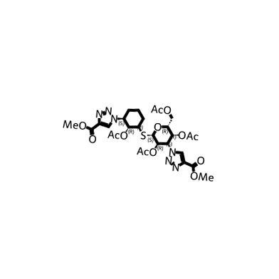 COC(=O)c1cn([C@H]2[C@@H](OC(C)=O)[C@@H](COC(C)=O)O[C@@H](S[C@@H]3CCC[C@H](n4cc(C(=O)OC)nn4)[C@H]3OC(C)=O)[C@@H]2OC(C)=O)nn1